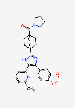 Cc1cccc(-c2[nH]c(C34CCC(C(=O)N5CCCC5)(CC3)CC4)nc2-c2ccc3c(c2)OCO3)n1